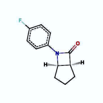 O=C1[C@H]2CCC[C@H]2N1c1ccc(F)cc1